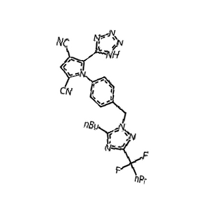 CCCCc1nc(C(F)(F)CCC)nn1Cc1ccc(-n2c(C#N)cc(C#N)c2-c2nnn[nH]2)cc1